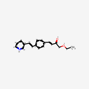 CCOCC(=O)/C=C/c1ccc(/C=C/c2cccnc2)cc1